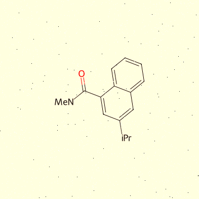 CNC(=O)c1cc(C(C)C)cc2ccccc12